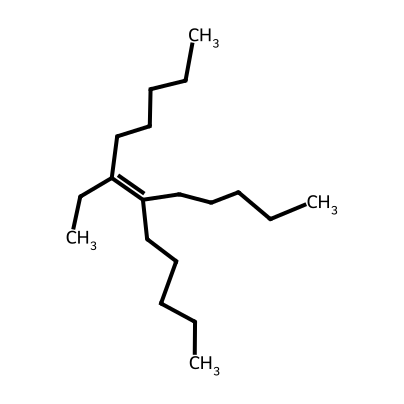 CCCCCC(CC)=C(CCCCC)CCCCC